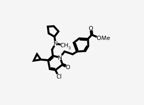 COC(=O)c1ccc(CCn2c(CN(C)C3CCCC3)c(C3CC3)cc(Cl)c2=O)cc1